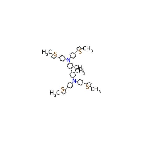 Cc1ccc(-c2ccc(N(c3ccc(-c4ccc(C)s4)cc3)c3ccc(-c4ccc(N(c5ccc(-c6ccc(C)s6)cc5)c5ccc(-c6ccc(C)s6)cc5)cc4C)c(C)c3)cc2)s1